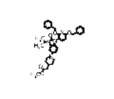 COC(=O)CC1CCN(c2ccc3c(c2)n(C(C)C)c(=O)n3-c2ccc(OCc3ccccc3)nc2OCc2ccccc2)CC1